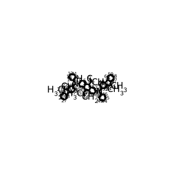 C=C(C)c1c2ccc(N(c3ccccc3)c3ccc4c(c3)C(C)(C)c3ccccc3-4)cc2c(C(=C)C)c2ccc(N(c3ccccc3)c3ccc4c(c3)C(C)(C)c3ccccc3-4)cc12